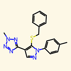 Cc1ccc(-n2ncc(-c3nnn(C)n3)c2SCc2ccccc2)cc1